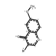 COc1ccc2occ(Br)c(=O)c2c1